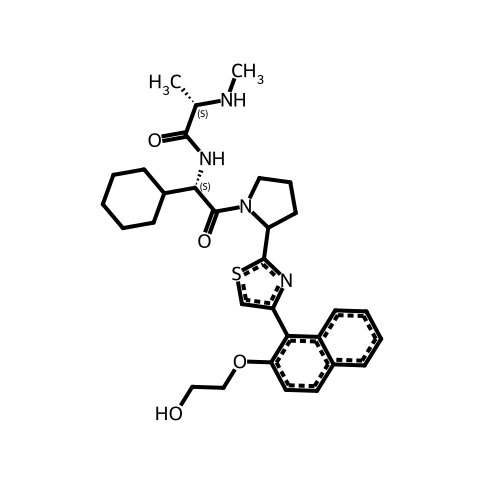 CN[C@@H](C)C(=O)N[C@H](C(=O)N1CCCC1c1nc(-c2c(OCCO)ccc3ccccc23)cs1)C1CCCCC1